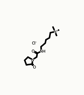 C[N+](C)(C)CCCCCNC(=O)CN1CCCC1=O.[Cl-]